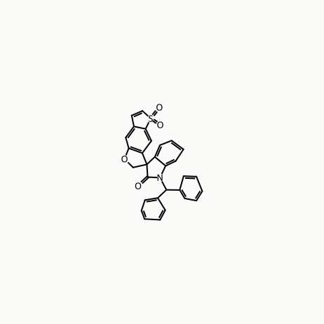 O=C1N(C(c2ccccc2)c2ccccc2)c2ccccc2C12COc1cc3c(cc12)S(=O)(=O)C=C3